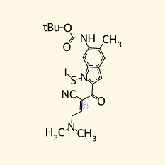 Cc1cc2cc(C(=O)/C(C#N)=C/CN(C)C)n(SI)c2cc1NC(=O)OC(C)(C)C